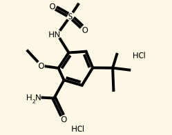 COc1c(NS(C)(=O)=O)cc(C(C)(C)C)cc1C(N)=O.Cl.Cl